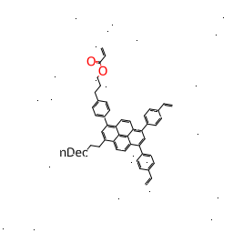 C=CC(=O)OCCCc1ccc(-c2cc(CCCCCCCCCCCC)c3ccc4c(-c5ccc(C=C)cc5)cc(-c5ccc(C=C)cc5)c5ccc2c3c45)cc1